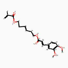 C=C(C)C(=O)OCCCCCCOC(=O)C=Cc1ccc(OC)c(OC)c1